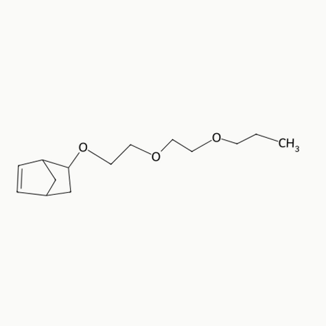 CCCOCCOCCOC1CC2C=CC1C2